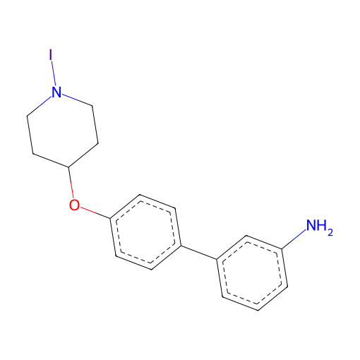 Nc1cccc(-c2ccc(OC3CCN(I)CC3)cc2)c1